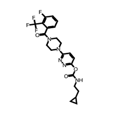 O=C(NCCC1CC1)Oc1ccc(N2CCN(C(=O)c3cccc(F)c3C(F)(F)F)CC2)nn1